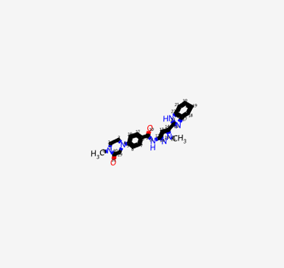 CN1CCN(c2ccc(C(=O)Nc3cc(-c4nc5ccccc5[nH]4)n(C)n3)cc2)CC1=O